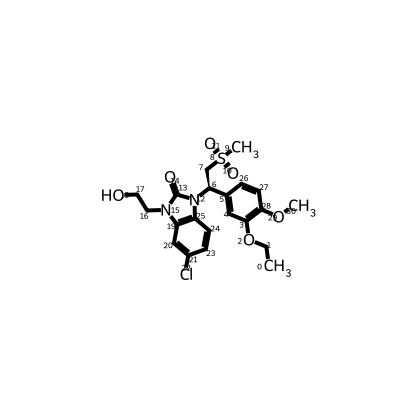 CCOc1cc([C@H](CS(C)(=O)=O)n2c(=O)n(CCO)c3cc(Cl)ccc32)ccc1OC